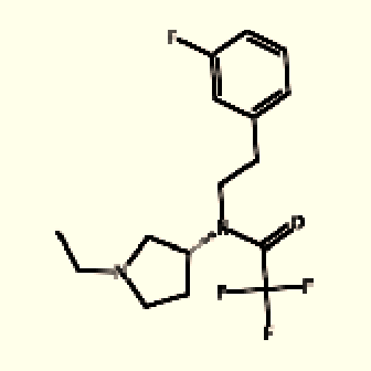 CCN1CC[C@@H](N(CCc2cccc(F)c2)C(=O)C(F)(F)F)C1